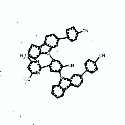 Cc1cc(C)nc(-c2cc(-n3c4ccccc4c4ccc(-c5ccc(C#N)cc5)cc43)c(C#N)cc2-n2c3ccccc3c3ccc(-c4ccc(C#N)cc4)cc32)n1